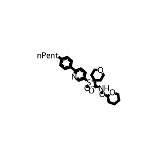 CCCCCc1ccc(-c2ccc([S+]([O-])C3(C(=O)NOC4CCCCO4)CCOCC3)cn2)cc1